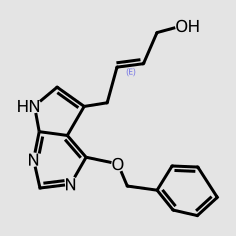 OC/C=C/Cc1c[nH]c2ncnc(OCc3ccccc3)c12